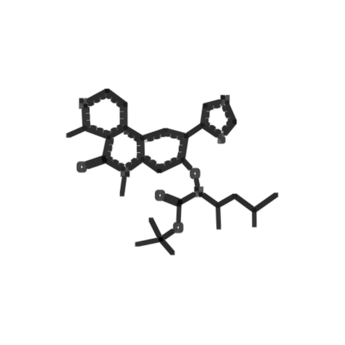 Cc1nccc2c1c(=O)n(C)c1cc(ON(C(=O)OC(C)(C)C)C(C)CC(C)C)c(-c3cncs3)cc21